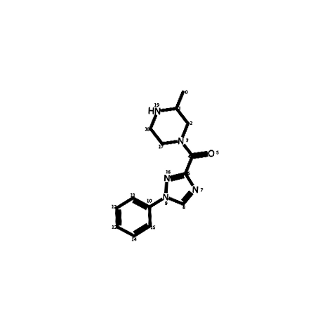 CC1CN(C(=O)c2ncn(-c3ccccc3)n2)CCN1